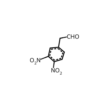 O=CCc1ccc([N+](=O)[O-])c([N+](=O)[O-])c1